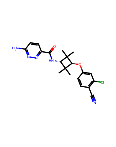 CC1(C)[C@H](NC(=O)c2ccc(N)nn2)C(C)(C)[C@H]1Oc1ccc(C#N)c(Cl)c1